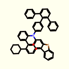 c1ccc(-c2cccc(-c3ccccc3)c2-c2ccc(N(c3ccc4c(c3)sc3ccccc34)c3ccccc3-c3ccccc3C3CCCCC3)cc2)cc1